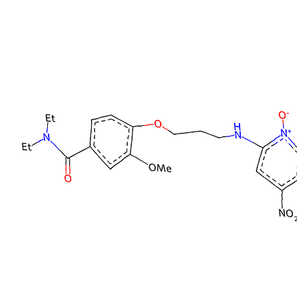 CCN(CC)C(=O)c1ccc(OCCCNc2cc([N+](=O)[O-])cc[n+]2[O-])c(OC)c1